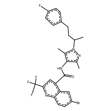 Cc1nn(C(C)CCc2ccc(F)cc2)c(C)c1NC(=O)c1cc(C(F)(F)F)nc2ccc(Br)cc12